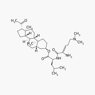 CC(=O)[C@H]1CC[C@H]2[C@@H]3CC[C@H]4C[C@H](OC(=O)[C@H](CC(C)C)NC(=O)/C(N)=C/CCN(C)C)CC[C@]4(C)[C@H]3CC[C@]12C